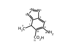 CC1C2=NN=NC2=CC(N)=C1C(=O)O